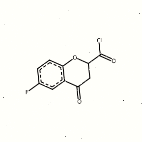 O=C1CC(C(=O)Cl)Oc2ccc(F)cc21